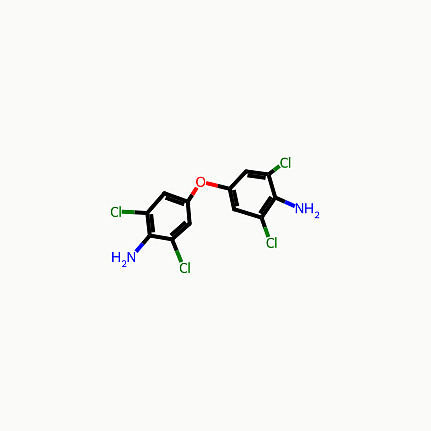 Nc1c(Cl)cc(Oc2cc(Cl)c(N)c(Cl)c2)cc1Cl